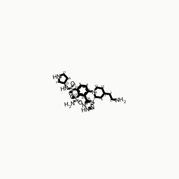 NCCC1CCN(c2ccc(S(=O)(=O)N[C@@H]3CCNC3)c(S(N)(=O)=O)c2-c2nn[nH]n2)CC1